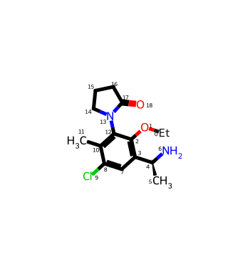 CCOc1c([C@H](C)N)cc(Cl)c(C)c1N1CCCC1=O